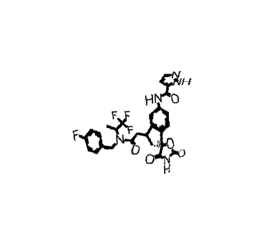 CC(N(Cc1ccc(F)cc1)C(=O)CC1C[C@@]2(OC(=O)NC2=O)c2ccc(NC(=O)c3ccn[nH]3)cc21)C(F)(F)F